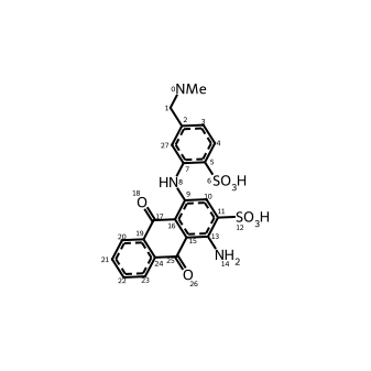 CNCc1ccc(S(=O)(=O)O)c(Nc2cc(S(=O)(=O)O)c(N)c3c2C(=O)c2ccccc2C3=O)c1